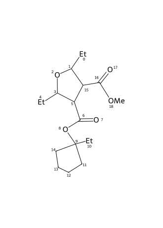 CCC1OC(CC)C(C(=O)OC2(CC)CCCC2)C1C(=O)OC